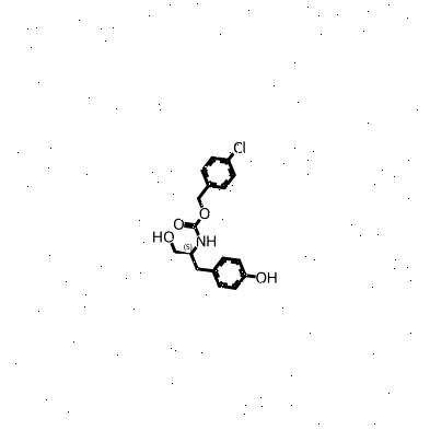 O=C(N[C@H](CO)Cc1ccc(O)cc1)OCc1ccc(Cl)cc1